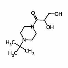 CC(C)(C)N1CCN(C(=O)C(O)CO)CC1